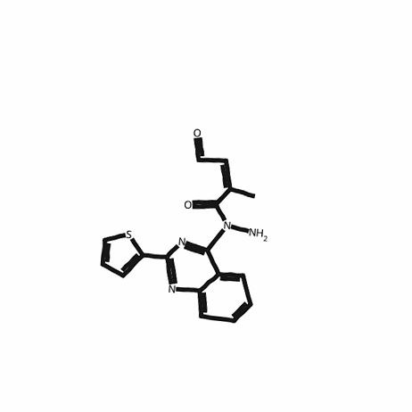 C/C(=C/C=O)C(=O)N(N)c1nc(-c2cccs2)nc2ccccc12